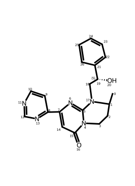 CC1CCn2c(nc(-c3ccncn3)cc2=O)N1C[C@@H](O)c1ccccc1